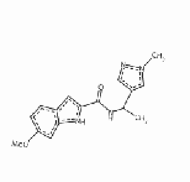 COc1ccc2cc(C(=O)NC(C)c3cnn(C)c3)[nH]c2c1